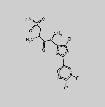 CC(CS(C)(=O)=O)C(=O)N(C)c1sc(-c2cnc(Cl)c(F)c2)nc1Cl